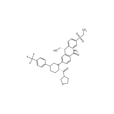 CCS(=O)(=O)c1ccc([C@@H](CO)c2cc(N3CC(c4ccc(C(F)(F)F)cc4)CC[C@H]3C(=O)C3CCOC3)ccc2C(N)=O)cc1